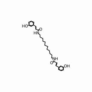 O=C(/C=C/c1cccc(O)c1)NCCCCCCCCCCCCNC(=O)/C=C/c1cccc(O)c1